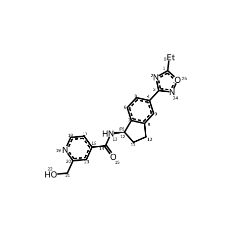 CCc1nc(-c2ccc3c(c2)CC[C@H]3NC(=O)c2ccnc(CO)c2)no1